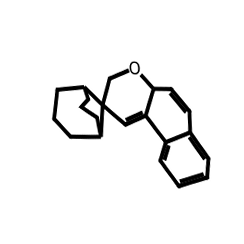 C1=CC2OCC3(C=C2c2ccccc21)C1CCCC3CCC1